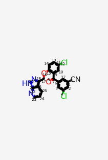 N#Cc1cc(Cl)cc(C(=O)c2cc(Cl)ccc2OCc2n[nH]c3ncccc23)c1